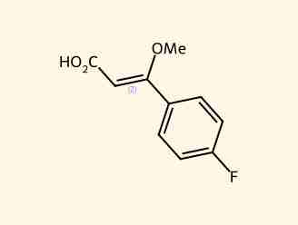 CO/C(=C\C(=O)O)c1ccc(F)cc1